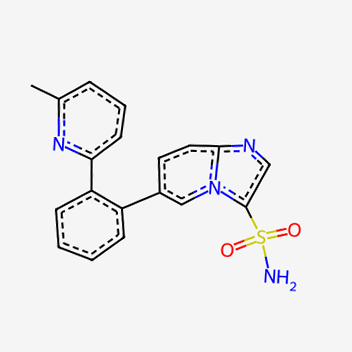 Cc1cccc(-c2ccccc2-c2ccc3ncc(S(N)(=O)=O)n3c2)n1